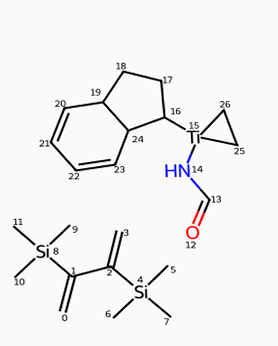 C=C(C(=C)[Si](C)(C)C)[Si](C)(C)C.O=C[NH][Ti]1([CH]2CCC3C=CC=CC32)[CH2][CH2]1